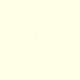 O=C1C(Cl)=C(Cl)C(=O)N1c1ccc(OCF)cc1